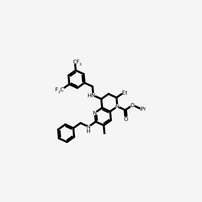 CCC1CC(NCc2cc(C(F)(F)F)cc(C(F)(F)F)c2)c2nc(NCc3ccccc3)c(C)cc2N1C(=O)OC(C)C